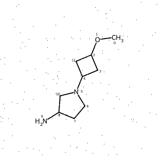 COC1CC(N2CCC(N)C2)C1